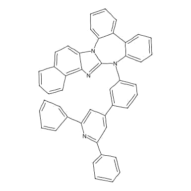 c1ccc(-c2cc(-c3cccc(N4c5ccccc5-c5ccccc5-n5c4nc4c6ccccc6ccc45)c3)cc(-c3ccccc3)n2)cc1